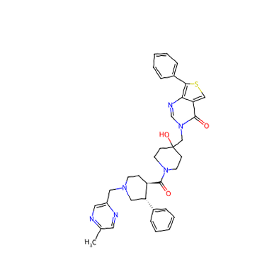 Cc1cnc(CN2CC[C@@H](C(=O)N3CCC(O)(Cn4cnc5c(-c6ccccc6)scc5c4=O)CC3)[C@H](c3ccccc3)C2)cn1